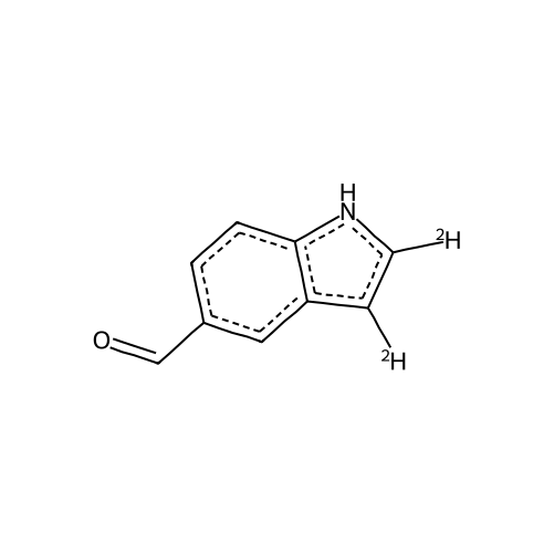 [2H]c1[nH]c2ccc(C=O)cc2c1[2H]